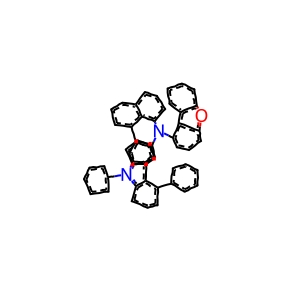 c1ccc(-c2cccc3c2c2ccc(-c4cccc5cccc(N(c6ccccc6)c6cccc7oc8ccccc8c67)c45)cc2n3-c2ccccc2)cc1